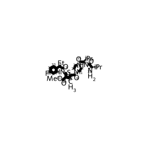 CCC(C(=O)Nc1sc(C(=O)N2CCN(C(=O)[C@H](NC(=O)[C@H](N)C(C)C)C(C)C)CC2)c(C)c1C(=O)OC)c1ccc(F)cc1